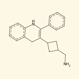 NCC1CC(C2=C(c3ccccc3)Nc3c[c]ccc3C2)C1